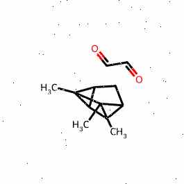 CC1(C)C2CC3C(C2)C31C.O=CC=O